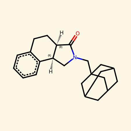 O=C1[C@@H]2CCc3ccccc3[C@@H]2CN1CC12CC3CC(CC(C3)C1)C2